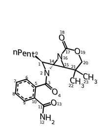 CCCCC[C@@H]1N(C(=O)c2ccccc2C(N)=O)[C@]12C1N2C(=O)OCC1(C)C